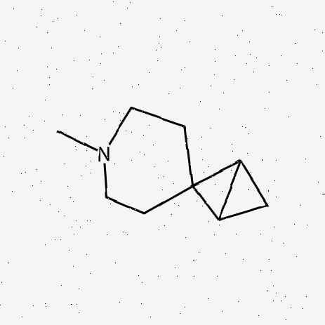 CN1CCC2(CC1)C1CC12